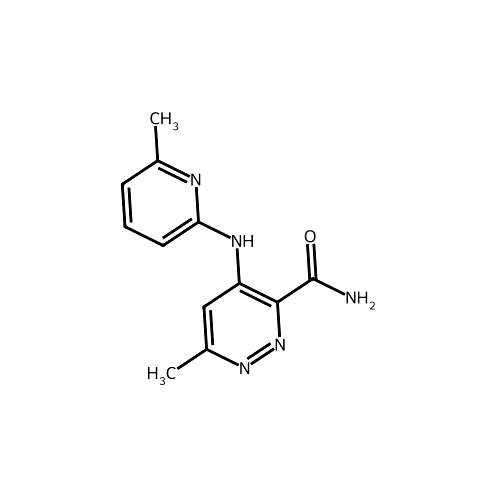 Cc1cc(Nc2cccc(C)n2)c(C(N)=O)nn1